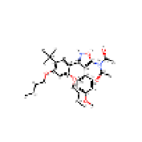 CCCCOc1cc(OCCCC)c(C(C)(C)C)cc1-c1noc(N(C(C)=O)C(C)=O)c1-c1ccc(OC)cc1